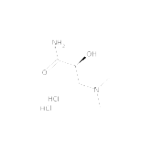 CN(C)C[C@H](O)C(N)=O.Cl.Cl